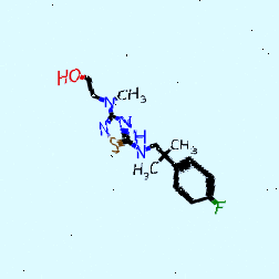 CN(CCO)c1nsc(NCC(C)(C)c2ccc(F)cc2)n1